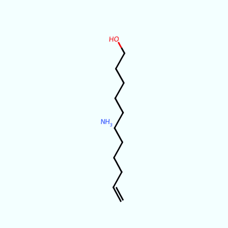 C=CCCCCCCCCCO.N